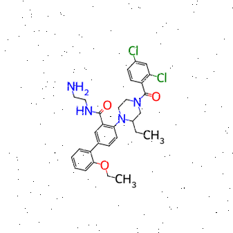 CCOc1ccccc1-c1ccc(N2CCN(C(=O)c3ccc(Cl)cc3Cl)CC2CC)c(C(=O)NCCN)c1